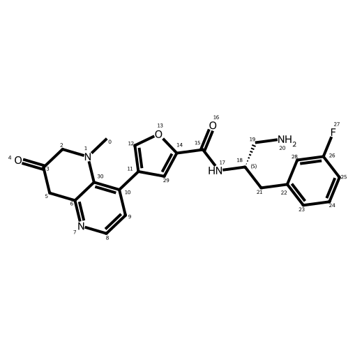 CN1CC(=O)Cc2nccc(-c3coc(C(=O)N[C@H](CN)Cc4cccc(F)c4)c3)c21